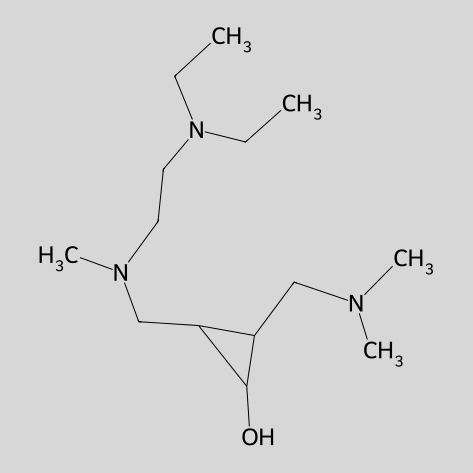 CCN(CC)CCN(C)CC1C(O)C1CN(C)C